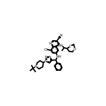 CC(Nc1c(C#N)cnc2c(Cl)cc(NC(c3ccccc3)c3cn(C4CCN(C(C)(C)C)CC4)nn3)cc12)C1CCOCC1